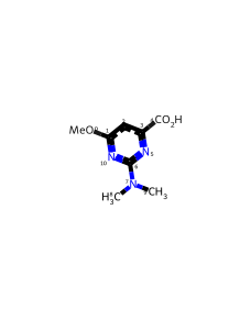 COc1cc(C(=O)O)nc(N(C)C)n1